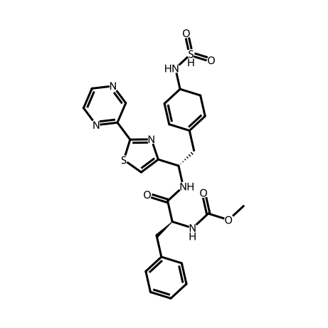 COC(=O)N[C@@H](Cc1ccccc1)C(=O)N[C@@H](CC1=CCC(N[SH](=O)=O)C=C1)c1csc(-c2cnccn2)n1